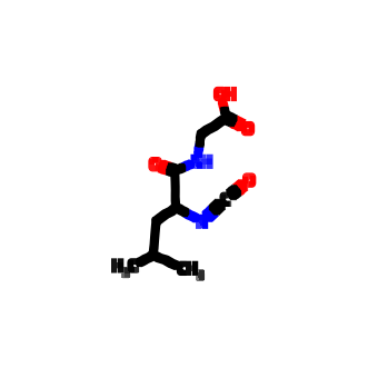 CC(C)CC(N=C=O)C(=O)NCC(=O)O